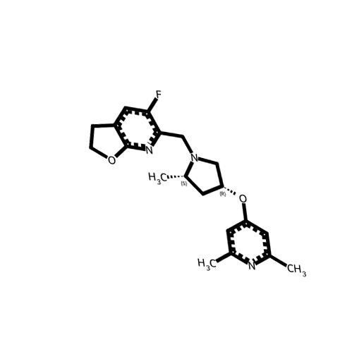 Cc1cc(O[C@@H]2C[C@H](C)N(Cc3nc4c(cc3F)CCO4)C2)cc(C)n1